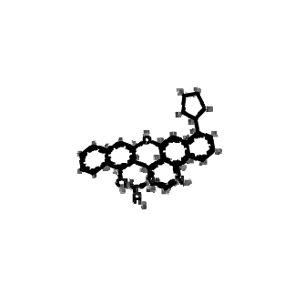 Cc1c2c(cc3ccccc13)Oc1cc3c(C4CCCC4)cccc3c3nc[n+](C)c-2c13